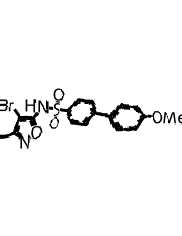 COc1ccc(-c2ccc(S(=O)(=O)Nc3onc(C)c3Br)cc2)cc1